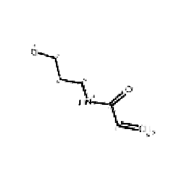 C=CC(=O)NCCCCl